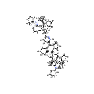 c1ccc(N2c3ccccc3C3(c4ccccc4-c4cc(-c5ccc(-c6c7ccccc7c(-c7ccc8c(c7)-c7ccccc7C87c8ccccc8N(c8ccccc8)c8ccccc87)c7ccccc67)cn5)ccc43)c3ccccc32)cc1